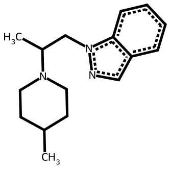 CC1CCN(C(C)Cn2ncc3ccccc32)CC1